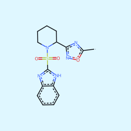 [CH2]c1nc(C2CCCCN2S(=O)(=O)c2nc3ccccc3[nH]2)no1